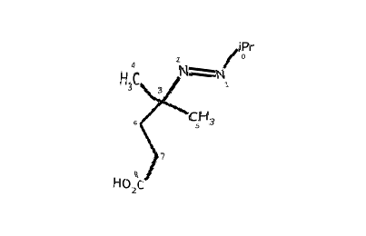 CC(C)N=NC(C)(C)CCC(=O)O